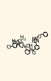 CC1(C)CN(C(=O)[C@H]2CCCC[C@H]2NC(=O)c2cccc(-c3nnn(COCc4ccccc4)n3)c2)CC[C@]1(O)c1ccc(Cl)cc1